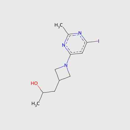 Cc1nc(I)cc(N2CC(CC(C)O)C2)n1